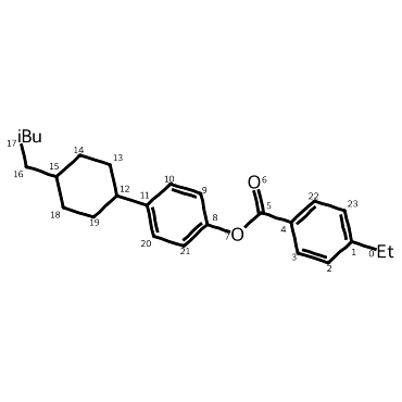 CCc1ccc(C(=O)Oc2ccc(C3CCC(CC(C)CC)CC3)cc2)cc1